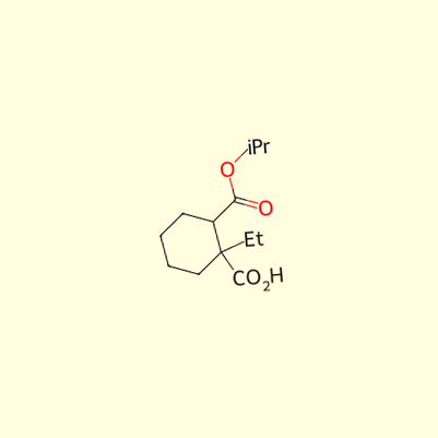 CCC1(C(=O)O)CCCCC1C(=O)OC(C)C